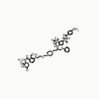 CN(C(=O)c1cccc(NCCOCCN2CCN(CCC(CSc3ccccc3)Nc3ccc(S(=O)(=O)NC(=O)c4ccc(N)cc4)cc3S(=O)(=O)C(F)(F)F)CC2)c1C=O)C1CCC(=O)NC1=O